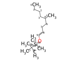 CCCCC(C)CC/C=C/O[Si](C)(C)C(C)(C)C